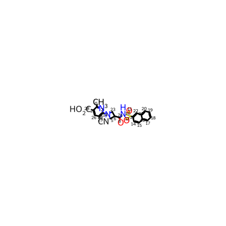 Cc1nc(N2CC(C(=O)NS(=O)(=O)c3ccc4ccccc4c3)C2)c(C#N)cc1C(=O)O